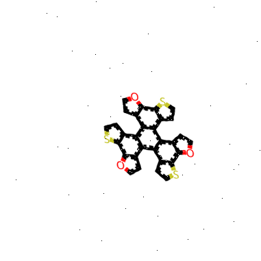 c1cc2c(o1)c1sccc1c1c3c4ccoc4c4sccc4c3c3c4ccoc4c4sccc4c3c21